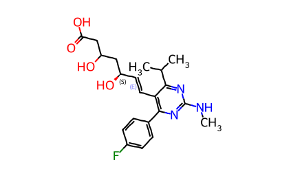 CNc1nc(-c2ccc(F)cc2)c(/C=C/[C@@H](O)CC(O)CC(=O)O)c(C(C)C)n1